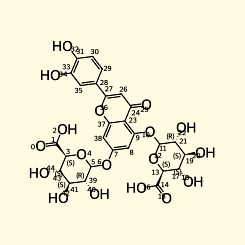 O=C(O)[C@H]1OC(Oc2cc(OC3O[C@H](C(=O)O)[C@@H](O)[C@H](O)[C@H]3O)c3c(=O)cc(-c4ccc(O)c(O)c4)oc3c2)[C@H](O)[C@@H](O)[C@@H]1O